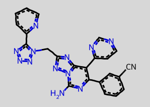 N#Cc1cccc(-c2nc(N)n3nc(Cn4nnnc4-c4ccccn4)nc3c2-c2ccncn2)c1